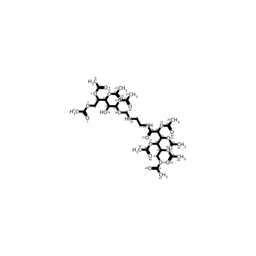 CC(=O)OCC(OC(C)=O)C(OC(C)=O)C(O)C(OCNCCNC(=O)C(OC(C)=O)C(OC(C)=O)C(OC(C)=O)C(COC(C)=O)OC(C)=O)OC(C)=O